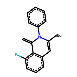 C=C1c2c(F)cccc2C=C(C(C)CC)N1c1ccccc1